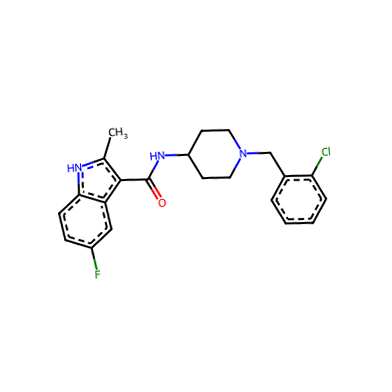 Cc1[nH]c2ccc(F)cc2c1C(=O)NC1CCN(Cc2ccccc2Cl)CC1